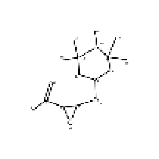 C=C(C)C1OC1OC1CC(C)(C)N(C)C(C)(C)C1